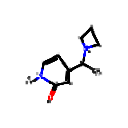 CC(C)n1ccc(C(N2CCC2)C(F)(F)F)cc1=O